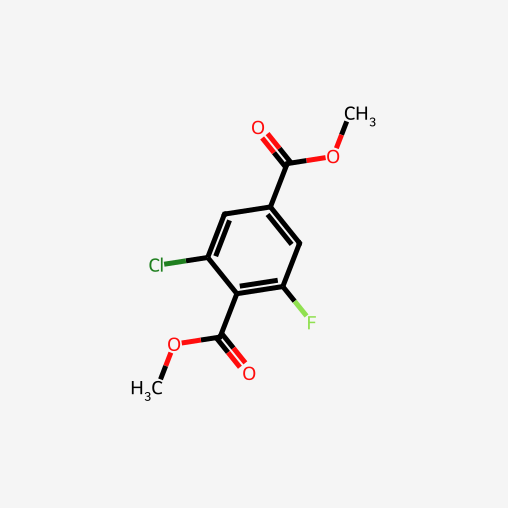 COC(=O)c1cc(F)c(C(=O)OC)c(Cl)c1